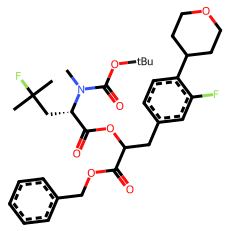 CN(C(=O)OC(C)(C)C)[C@@H](CC(C)(C)F)C(=O)OC(Cc1ccc(C2CCOCC2)c(F)c1)C(=O)OCc1ccccc1